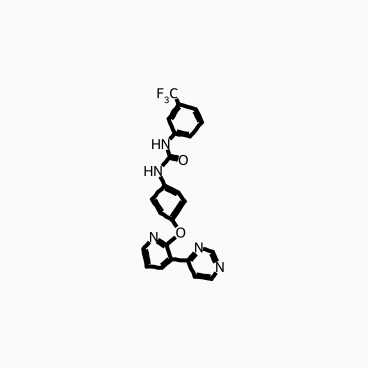 O=C(Nc1ccc(Oc2ncccc2-c2ccncn2)cc1)Nc1cccc(C(F)(F)F)c1